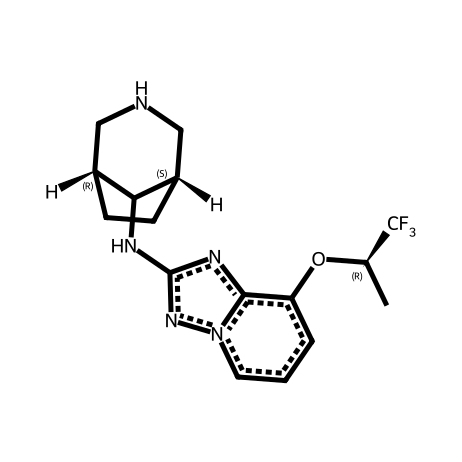 C[C@@H](Oc1cccn2nc(NC3[C@@H]4CC[C@H]3CNC4)nc12)C(F)(F)F